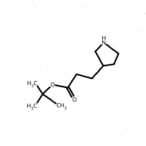 CC(C)(C)OC(=O)CCC1CCNC1